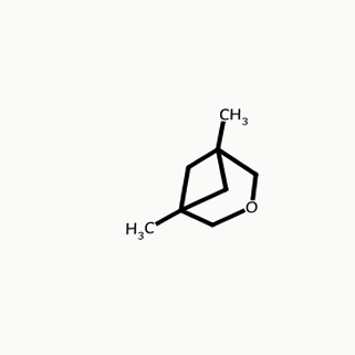 CC12COCC(C)(C1)C2